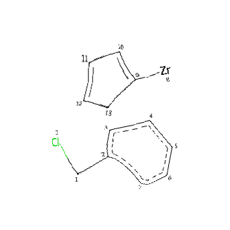 ClCc1ccccc1.[Zr][C]1=CC=CC1